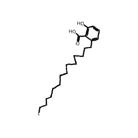 O=C(O)c1c(O)cccc1CCCCCCCCCCCCCCI